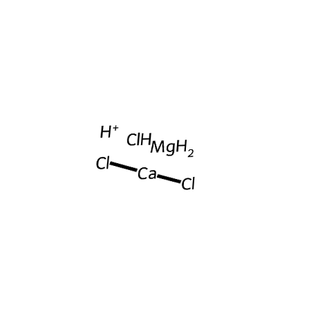 Cl.[Cl][Ca][Cl].[H+].[MgH2]